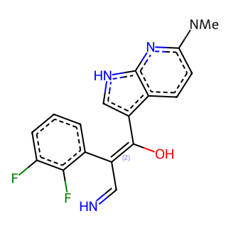 CNc1ccc2c(/C(O)=C(/C=N)c3cccc(F)c3F)c[nH]c2n1